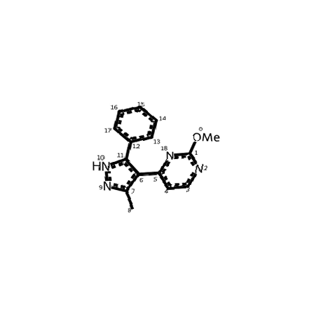 COc1nccc(-c2c(C)n[nH]c2-c2ccccc2)n1